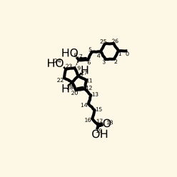 CC1CCC(CC=C(O)[C@@H]2[C@@H]3CC(CCCCC(=O)O)=C[C@@H]3C[C@H]2O)CC1